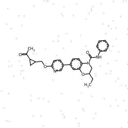 CCC1CN(C(=O)Nc2ccccc2)c2ccc(-c3ccc(OCC4CC4C(C)=O)nc3)cc2O1